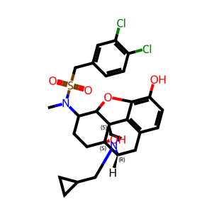 CN(C1CC[C@@]2(O)[C@H]3Cc4ccc(O)c5c4[C@@]2(CCN3CC2CC2)C1O5)S(=O)(=O)Cc1ccc(Cl)c(Cl)c1